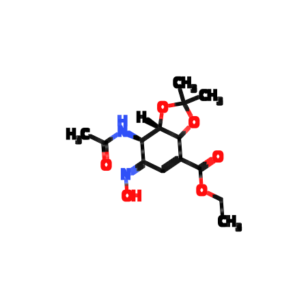 CCOC(=O)C1=CC(=NO)[C@@H](NC(C)=O)[C@@H]2OC(C)(C)OC12